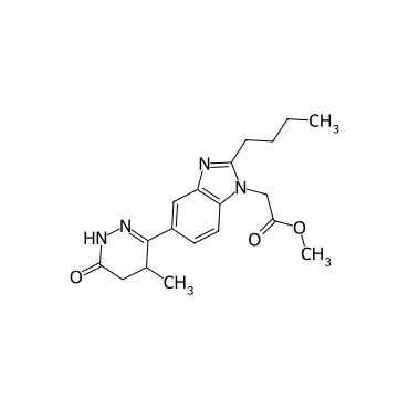 CCCCc1nc2cc(C3=NNC(=O)CC3C)ccc2n1CC(=O)OC